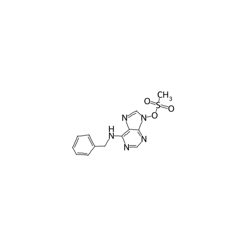 CS(=O)(=O)On1cnc2c(NCc3ccccc3)ncnc21